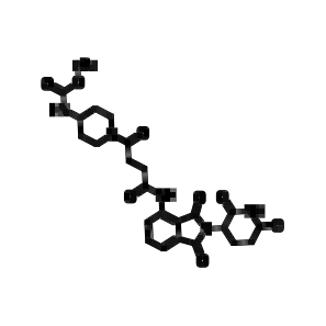 CCCCOC(=O)NC1CCN(C(=O)CCC(=O)Nc2cccc3c2C(=O)N(C2CCC(=O)NC2=O)C3=O)CC1